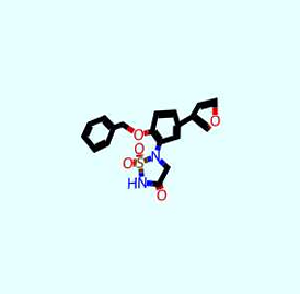 O=C1CN(c2cc(-c3ccoc3)ccc2OCc2ccccc2)S(=O)(=O)N1